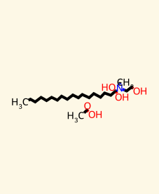 CC(=O)O.CCCCCCCCCCCCCCCCCC(O)(O)N(C)CCO